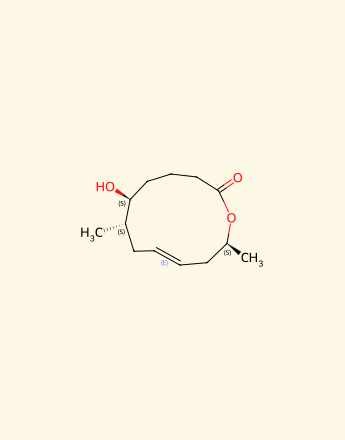 C[C@H]1C/C=C/C[C@H](C)[C@@H](O)CCCC(=O)O1